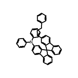 c1ccc(CCCc2ccc3c(c2)C2(c4ccccc4-3)c3ccccc3-c3ccc(N(c4ccccc4)c4ccccc4)cc32)cc1